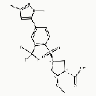 CO[C@H]1C[C@@H](S(=O)(=O)c2ccc(-c3cc(C)nn3C)cc2C(F)(F)F)C[C@@H]1C(=O)O